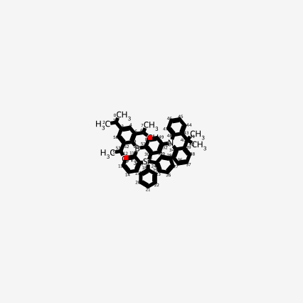 CC(C)c1cc(C(C)C)c(B2c3ccccc3[Si](c3ccccc3)(c3ccccc3)c3cc(N4c5ccccc5C(C)(C)c5ccccc54)ccc32)c(C(C)C)c1